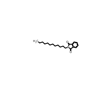 [CH2]CCCCCCCCCCCN1C(=O)c2ccccc2C1=O